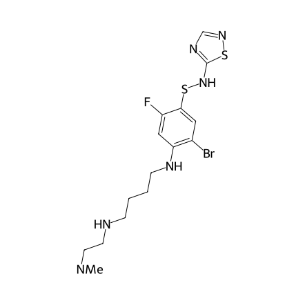 CNCCNCCCCNc1cc(F)c(SNc2ncns2)cc1Br